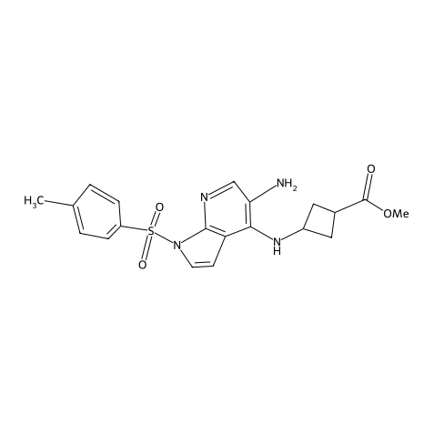 COC(=O)C1CC(Nc2c(N)cnc3c2ccn3S(=O)(=O)c2ccc(C)cc2)C1